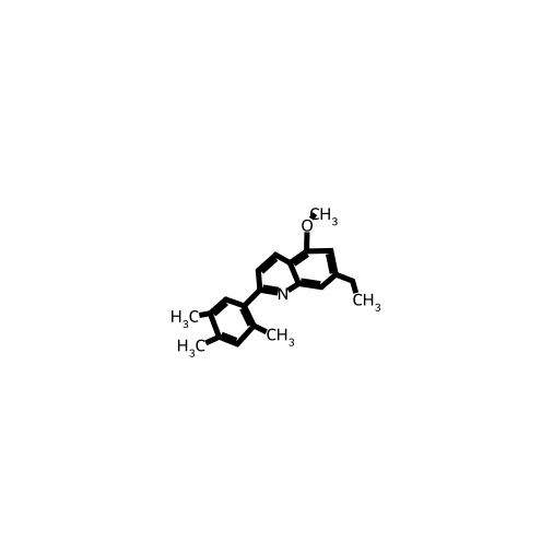 CCc1cc(OC)c2ccc(-c3cc(C)c(C)cc3C)nc2c1